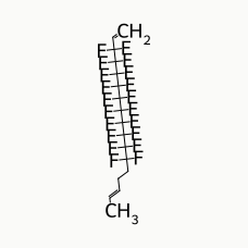 C=CC(F)(F)C(F)(F)C(F)(F)C(F)(F)C(F)(F)C(F)(F)C(F)(F)C(F)(F)C(F)(F)C(F)(F)CC/C=C/C